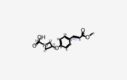 COC(=O)/C=C/c1ccc(OC2CN(C(=O)O)C2)cc1